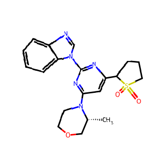 C[C@@H]1COCCN1c1cc(C2CCCS2(=O)=O)nc(-n2cnc3ccccc32)n1